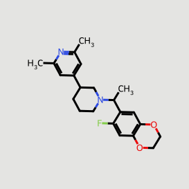 Cc1cc(C2CCCN(C(C)c3cc4c(cc3F)OCCO4)C2)cc(C)n1